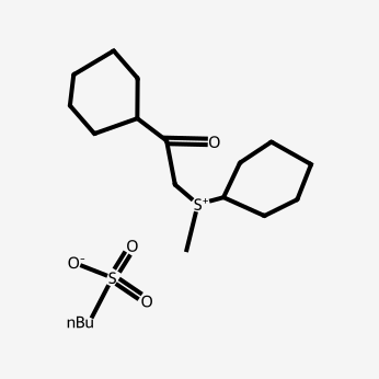 CCCCS(=O)(=O)[O-].C[S+](CC(=O)C1CCCCC1)C1CCCCC1